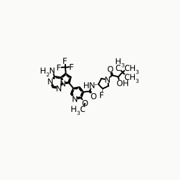 COc1ncc(-c2cc(C(F)(F)F)c3c(N)ncnn23)cc1C(=O)N[C@@H]1CN(C(=O)C(O)C(C)(C)C)C[C@@H]1F